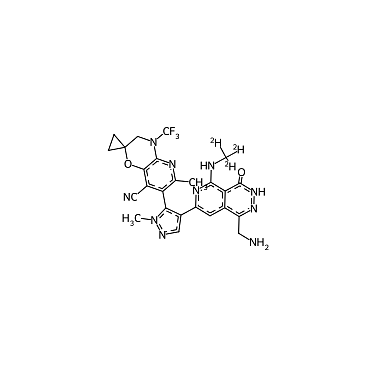 [2H]C([2H])([2H])Nc1nc(-c2cnn(C)c2-c2c(C)nc3c(c2C#N)OC2(CC2)CN3C(F)(F)F)cc2c(CN)n[nH]c(=O)c12